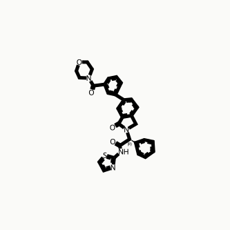 O=C(Nc1nccs1)[C@@H](c1ccccc1)N1Cc2ccc(-c3cccc(C(=O)N4CCOCC4)c3)cc2C1=O